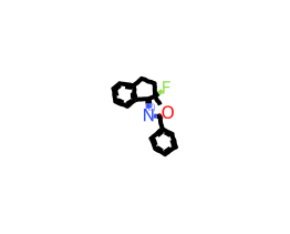 CC1(F)CCc2ccccc2/C1=N/C(=O)c1ccccc1